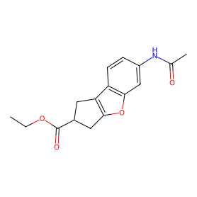 CCOC(=O)C1Cc2oc3cc(NC(C)=O)ccc3c2C1